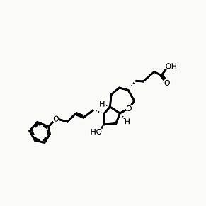 O=C(O)CCC[C@H]1CC[C@@H]2[C@@H](CC=CCOc3ccccc3)[C@H](O)C[C@@H]2OC1